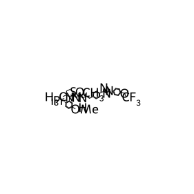 COc1ccc(C(C)C)c(N2/C(=N/C(=O)N/C(C)=C/c3ccc(-c4ncn(-c5ccc(OC(F)(F)F)cc5)n4)cc3)SCCC2C)c1